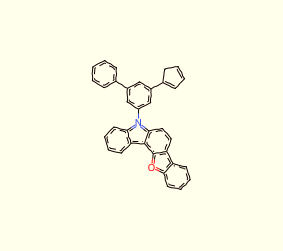 C1=CCC(c2cc(-c3ccccc3)cc(-n3c4ccccc4c4c5oc6ccccc6c5ccc43)c2)=C1